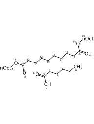 CCCCCC(=O)O.CCCCCCCCOC(=O)CCCCCCCCC(=O)OCCCCCCCC